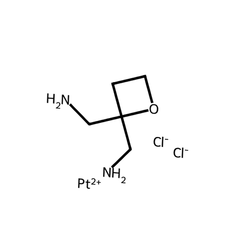 NCC1(CN)CCO1.[Cl-].[Cl-].[Pt+2]